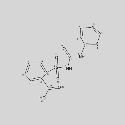 O=C(Nc1ncncn1)NS(=O)(=O)c1ccccc1C(=O)O